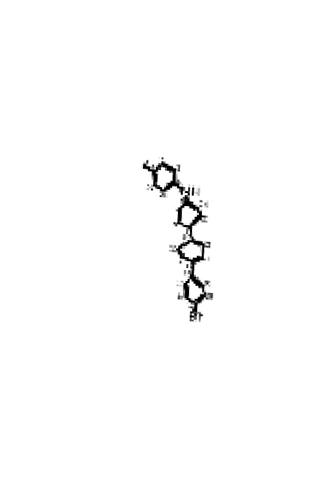 Cc1ccc(Nc2ccc(-c3ccc(-c4ccc(Br)cc4)cc3)cc2)cc1